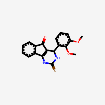 COc1cccc(C2NC(=S)NC3=C2C(=O)c2ccccc23)c1OC